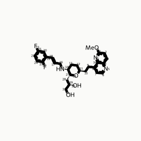 COc1ccc2nccc(CC[C@@H]3CC[C@@H](NC/C=C/c4cc(F)ccc4F)[C@@H](C[C@H](O)CO)O3)c2n1